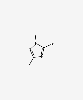 Cc1nc(Br)n(C)n1